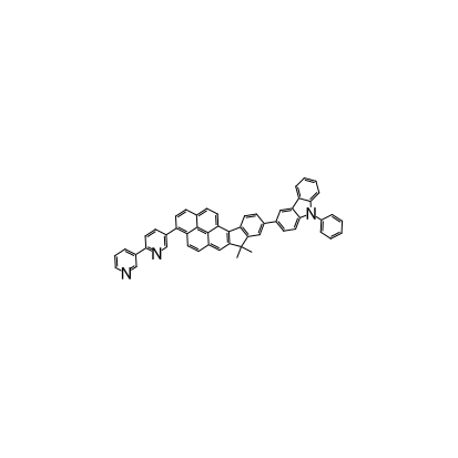 CC1(C)c2cc(-c3ccc4c(c3)c3ccccc3n4-c3ccccc3)ccc2-c2c1cc1ccc3c(-c4ccc(-c5cccnc5)nc4)ccc4ccc2c1c43